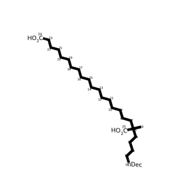 CCCCCCCCCCCCCCC(C)(CCCCCCCCCCCCCCCCCC(=O)O)C(=O)O